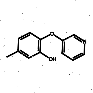 Cc1ccc(Oc2cccnc2)c(O)c1